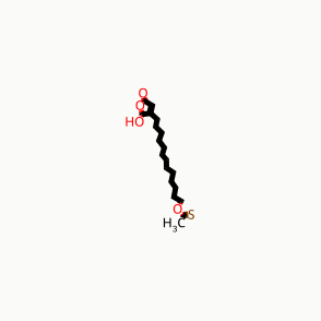 CC(=S)OCCCCCCCCCCCCCC1=CC(=O)OC1O